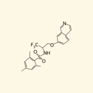 Cc1cc(C)c(S(=O)(=O)NC(COc2ccc3ccncc3c2)C(F)(F)F)c(C)c1